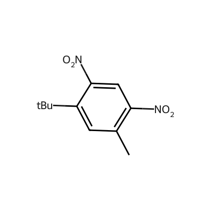 Cc1cc(C(C)(C)C)c([N+](=O)[O-])cc1[N+](=O)[O-]